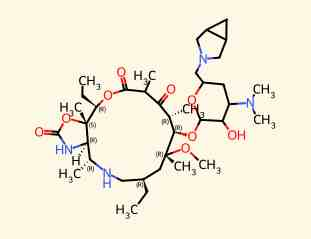 CC[C@H]1CN[C@H](C)[C@H]2NC(=O)O[C@]2(C)[C@@H](CC)OC(=O)C(C)C(=O)[C@H](C)[C@@H](OC2OC(CN3CC4CC4C3)CC(N(C)C)C2O)[C@](C)(OC)C1